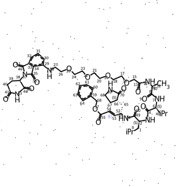 CC(C)C[C@H](NC(=O)[C@@H](NC(=O)[C@H](C)NC(=O)COCCOCCOCCOCCNc1cccc2c1C(=O)N(C1CCC(=O)NC1=O)C2=O)C(C)C)C(=O)N[C@H](/C=C/C(=O)OCc1ccccc1)C[C@@H]1CCNC1=O